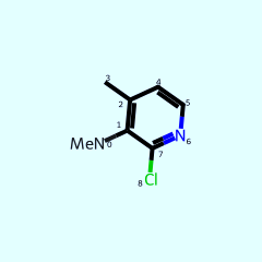 CNc1c(C)ccnc1Cl